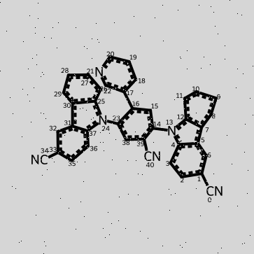 N#Cc1ccc2c(c1)c1ccccc1n2-c1cc(-c2cccnc2)c(-n2c3ccccc3c3cc(C#N)ccc32)cc1C#N